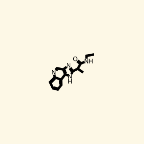 CCNC(=O)C(C)c1nc2cnc3ccccc3c2[nH]1